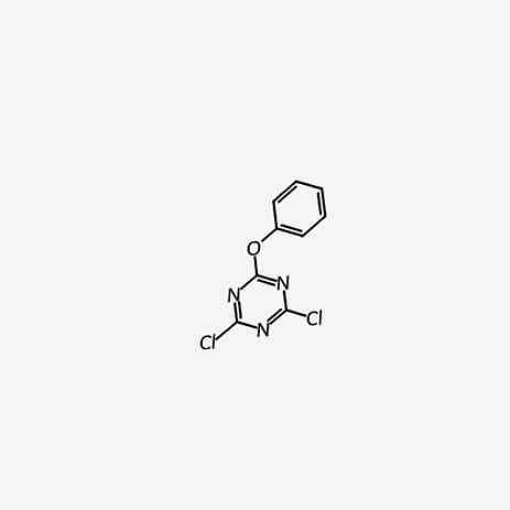 Clc1nc(Cl)nc(Oc2ccccc2)n1